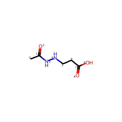 CC(=O)NNCCC(=O)O